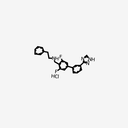 Cl.Fc1cc(-c2cccc(-c3nc[nH]n3)c2)cc(F)c1CNCCc1ccccc1